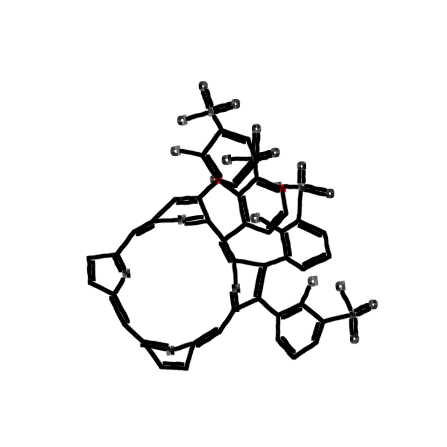 O=S(=O)(Cl)c1cccc(C2=CC3=CC4=NC(=CC5=NC(=CC6=NC(=C(c7cccc(S(=O)(=O)Cl)c7Cl)C2=N3)C(c2cccc(S(=O)(=O)Cl)c2Cl)=C6c2cccc(S(=O)(=O)Cl)c2Cl)C=C5)C=C4)c1Cl